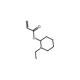 C=CC(=O)OC1CCCCN1CC